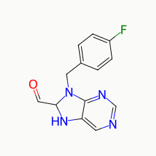 O=CC1Nc2cncnc2N1Cc1ccc(F)cc1